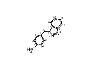 Cc1ccc(C[C]2N=Nc3ccccc32)cc1